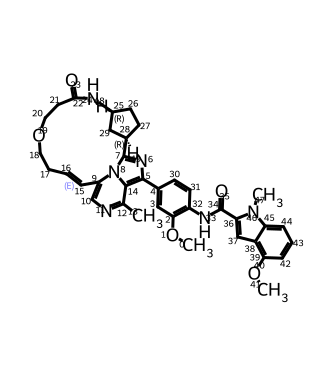 COc1cc(-c2nc3n4c(cnc(C)c24)/C=C/CCOCCC(=O)N[C@@H]2CC[C@@H]3C2)ccc1NC(=O)c1cc2c(OC)cccc2n1C